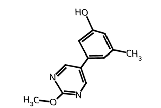 COc1ncc(-c2cc(C)cc(O)c2)cn1